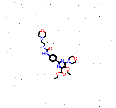 CCOC(=O)c1nc(-c2ccc(NC(=O)NCCN3CCOCC3)cc2)nc(N2CCOCC2)c1OCC